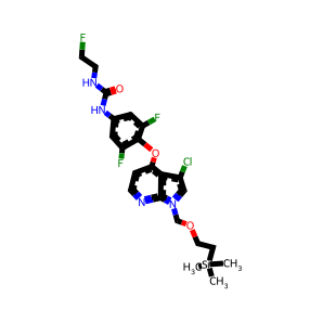 C[Si](C)(C)CCOCn1cc(Cl)c2c(Oc3c(F)cc(NC(=O)NCCF)cc3F)ccnc21